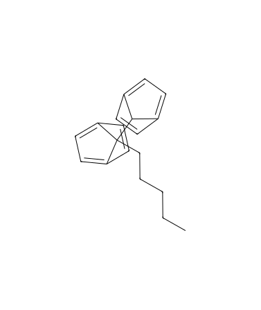 CCCCCC1(C2C3=CC=C2C=C3)C2=CC=C1C=C2